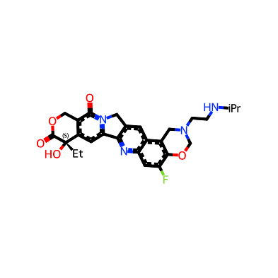 CC[C@@]1(O)C(=O)OCc2c1cc1n(c2=O)Cc2cc3c4c(c(F)cc3nc2-1)OCN(CCNC(C)C)C4